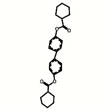 O=C(Oc1ccc(-c2ccc(OC(=O)C3CCCCC3)cc2)cc1)C1CCCCC1